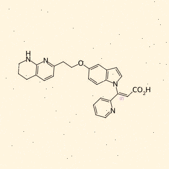 O=C(O)/C=C(/c1ccccn1)n1ccc2cc(OCCc3ccc4c(n3)NCCC4)ccc21